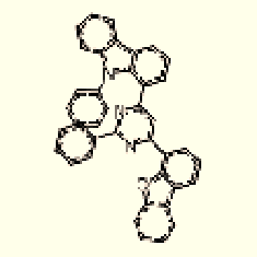 c1ccc(-c2nc(-c3cccc4c3oc3ccccc34)cc(-c3cccc4c5ccccc5n(-c5ccccc5)c34)n2)cc1